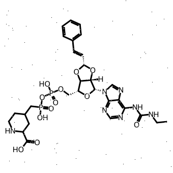 CCNC(=O)Nc1ncnc2c1ncn2[C@@H]1O[C@H](COP(=O)(O)OP(=O)(O)CC2CCNC(C(=O)O)C2)C2O[C@H](/C=C/c3ccccc3)O[C@@H]21